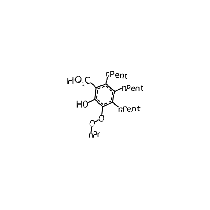 CCCCCc1c(CCCCC)c(OOCCC)c(O)c(C(=O)O)c1CCCCC